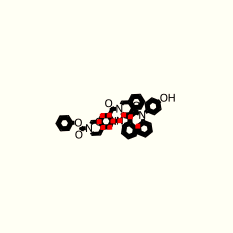 O=C(Oc1ccccc1)N1CCc2cc(-n3cc(C(=O)N(c4ccccc4)c4ccc(O)cc4)c4ccccc43)c(C(=O)N3Cc4ccccc4C[C@H]3CN3CCOCC3)cc2C1